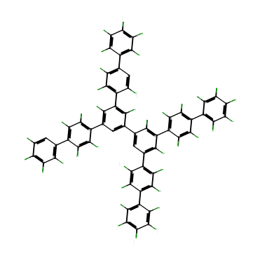 Fc1cc(-c2c(F)c(F)c(-c3cc(-c4cc(-c5c(F)c(F)c(-c6c(F)c(F)c(F)c(F)c6F)c(F)c5F)c(F)c(-c5c(F)c(F)c(-c6c(F)c(F)c(F)c(F)c6F)c(F)c5F)c4F)c(F)c(-c4c(F)cc(-c5c(F)c(F)c(F)c(F)c5F)c(F)c4F)c3F)c(F)c2F)c(F)c(F)c1F